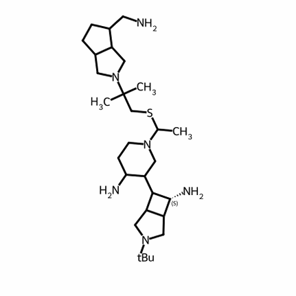 CC(SCC(C)(C)N1CC2CCC(CN)C2C1)N1CCC(N)C(C2C3CN(C(C)(C)C)CC3[C@H]2N)C1